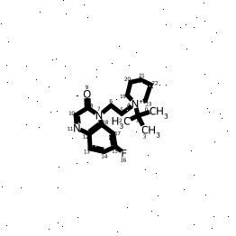 CC(C)(C)[N+]1(CCn2c(=O)cnc3ccc(F)cc32)CC[CH]CC1